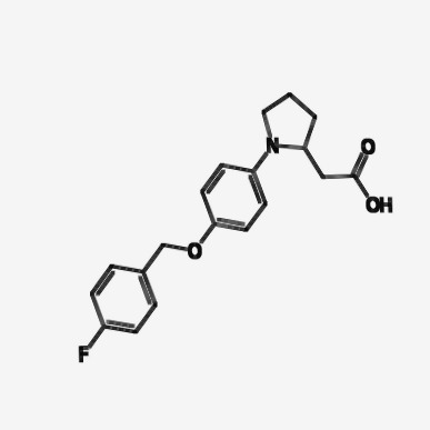 O=C(O)CC1CCCN1c1ccc(OCc2ccc(F)cc2)cc1